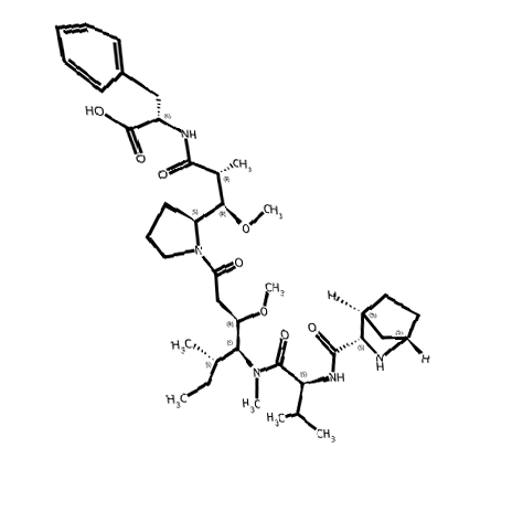 CC[C@H](C)[C@@H]([C@@H](CC(=O)N1CCC[C@H]1[C@H](OC)[C@@H](C)C(=O)N[C@@H](Cc1ccccc1)C(=O)O)OC)N(C)C(=O)[C@@H](NC(=O)[C@H]1N[C@H]2CC[C@H]1C2)C(C)C